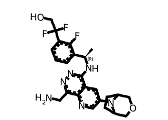 C[C@@H](Nc1nnc(CN)c2ncc(N3C4CCC3COC4)cc12)c1cccc(C(F)(F)CO)c1F